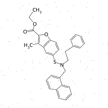 CCOC(=O)c1oc2ccc(SN(CCc3ccccc3)Cc3cccc4ccccc34)cc2c1C